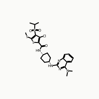 CSc1sc(C(=O)N[C@H]2CC[C@@H](Nc3nc(N(C)C)c4ccccc4n3)CC2)c(Cl)c1S(=O)(=O)C(C)C